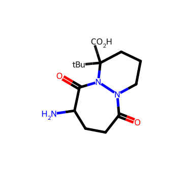 CC(C)(C)C1(C(=O)O)CCCN2C(=O)CCC(N)C(=O)N21